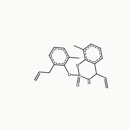 C=CCc1cccc(C)c1OP1(=O)NC(C=C)c2cccc(C)c2O1